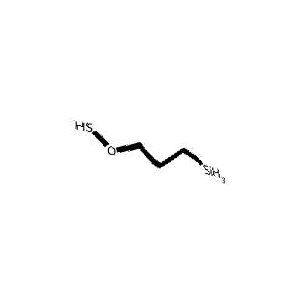 [SiH3]CCCOS